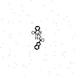 O=C(CSc1nc2ccccc2c(=O)[nH]1)C1=Cc2ccccc2C1